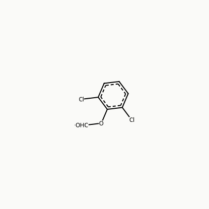 O=[C]Oc1c(Cl)cccc1Cl